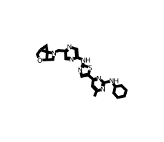 Cc1cc(-c2cnc(Nc3cnc(CN4CC5OCC6CC654)cn3)s2)nc(NC2CCCCC2)n1